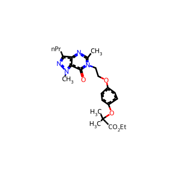 CCCc1nn(C)c2c(=O)n(CCOc3ccc(OC(C)(C)C(=O)OCC)cc3)c(C)nc12